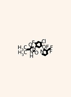 CC(C)=C1NC(=O)N(c2cc(Oc3ncccc3C(F)(F)F)c(Cl)cc2F)C1=O